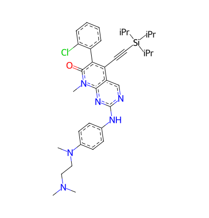 CC(C)[Si](C#Cc1c(-c2ccccc2Cl)c(=O)n(C)c2nc(Nc3ccc(N(C)CCN(C)C)cc3)ncc12)(C(C)C)C(C)C